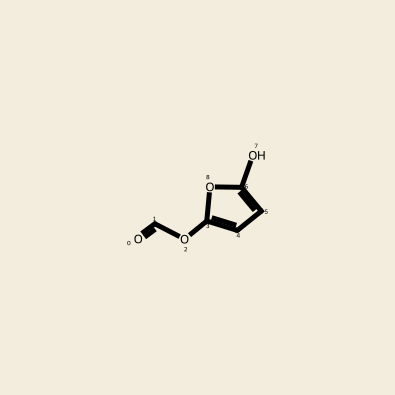 O=COc1ccc(O)o1